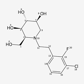 OC[C@H]1[C@@H](O)[C@H](O)[C@@H](O)CN1CCc1cccc(Cl)c1F